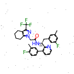 Cc1cc(F)cc(C[C@H](NC(=O)Cn2nc(C(F)(F)F)c3c2CCCC3)c2ncccc2-c2ccc(F)c(C)c2)c1